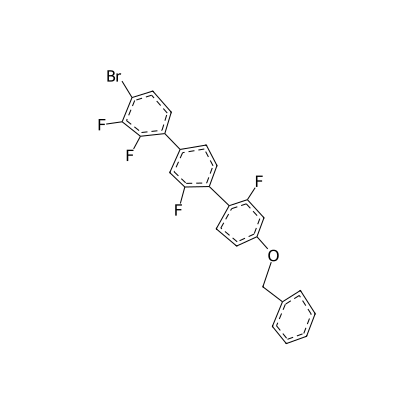 Fc1cc(OCc2ccccc2)ccc1-c1ccc(-c2ccc(Br)c(F)c2F)cc1F